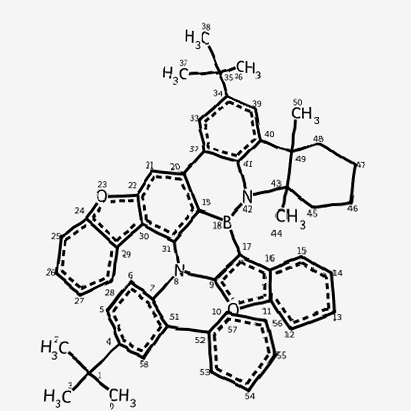 CC(C)(C)c1ccc(N2c3oc4ccccc4c3B3c4c(cc5oc6ccccc6c5c42)-c2cc(C(C)(C)C)cc4c2N3C2(C)CCCCC42C)c(-c2ccccc2)c1